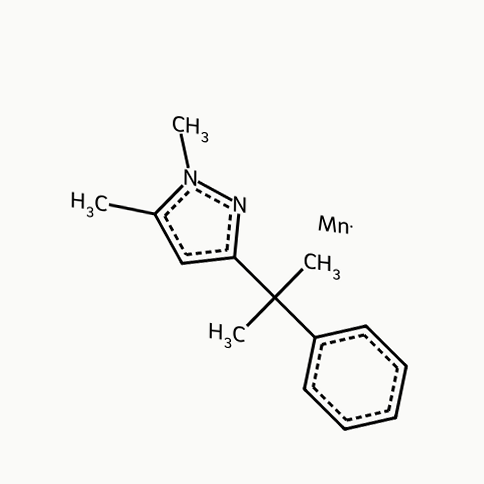 Cc1cc(C(C)(C)c2ccccc2)nn1C.[Mn]